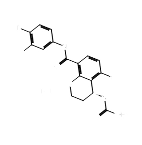 Cl.O=C(O)N[C@H]1CCSc2c(C(=O)Nc3ccc(F)c(F)c3)ccc(F)c21